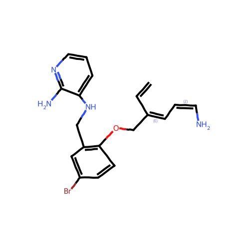 C=C/C(=C\C=C/N)COc1ccc(Br)cc1CNc1cccnc1N